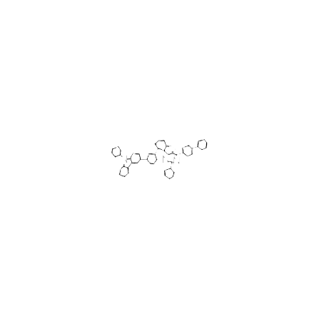 c1ccc(-c2ccc(-c3nc(-c4ccccc4)nc4c3sc3cccc(-c5cccc(-c6ccc7c(c6)c6ccccc6n7-c6ccccc6)c5)c34)cc2)cc1